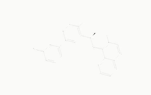 C[C@@H](Nc1c(Cl)cnc2ccccc12)c1cc(-c2cccc(N)c2)ccc1F